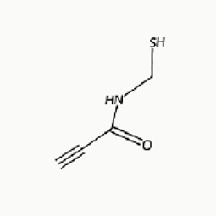 C#CC(=O)NCS